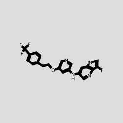 Fc1c[nH]c2cc(Nc3cncc(OCCc4ccc(C(F)(F)F)cc4)c3)cnc12